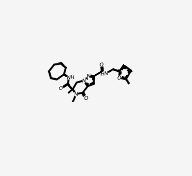 Cc1ccc(CNC(=O)c2cc3n(n2)CC(C)(C(=O)NC2CCCCCC2)N(C)C3=O)o1